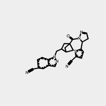 N#Cc1ccc2c(cnn2CC2CC3(C(=O)N4N=CCC4c4ccc(C#N)s4)CC2C3)c1